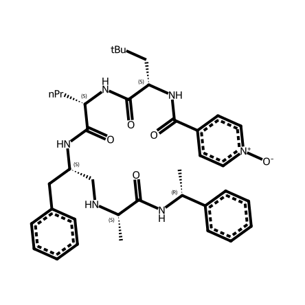 CCC[C@H](NC(=O)[C@H](CC(C)(C)C)NC(=O)c1cc[n+]([O-])cc1)C(=O)N[C@H](CN[C@@H](C)C(=O)N[C@H](C)c1ccccc1)Cc1ccccc1